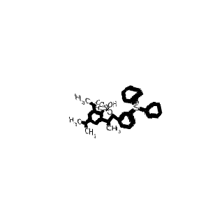 CC(C)c1cc(C(C)C)c(S(=O)(=O)O)c(C(C)Cc2cccc([SH](c3ccccc3)C3C=CC=CC3)c2)c1